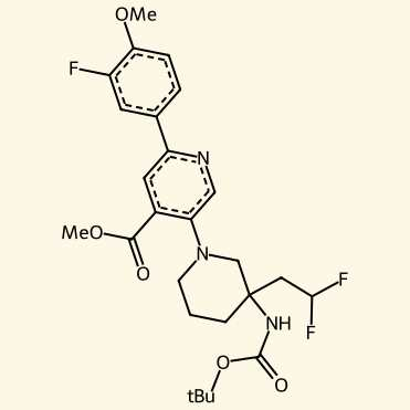 COC(=O)c1cc(-c2ccc(OC)c(F)c2)ncc1N1CCCC(CC(F)F)(NC(=O)OC(C)(C)C)C1